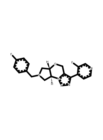 Fc1ccc(CN2C[C@@H]3OCc4c(-c5ccncc5F)nnn4[C@H]3C2)cc1